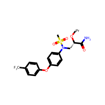 CC(C)O[C@@H](CN(c1ccc(Oc2ccc(C(F)(F)F)cc2)cc1)S(C)(=O)=O)C(N)=O